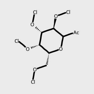 CC(=O)[C]1O[C@H](COCl)[C@H](OCl)[C@H](OCl)[C@H]1OCl